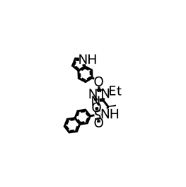 CCn1c(Oc2ccc3cc[nH]c3c2)nnc1[C@@H](C)NS(=O)(=O)c1ccc2ccccc2c1